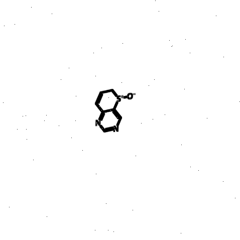 [O-][S+]1CC=Cc2ncncc21